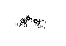 Cc1cc(N)c2ccc(OCc3cncc(-n4cc(Cl)c5c(N)ncnc54)c3)cc2n1